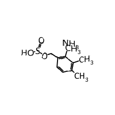 Cc1ccc(COS(=O)O)c(C)c1C.N